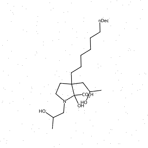 CCCCCCCCCCCCCCCCC1(CC(C)O)CCN(CC(C)O)C1(O)C(=O)O